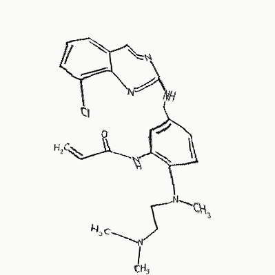 C=CC(=O)Nc1cc(Nc2ncc3cccc(Cl)c3n2)ccc1N(C)CCN(C)C